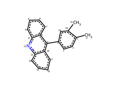 Cc1ccc(-c2c3ccccc3nc3ccccc23)cc1C